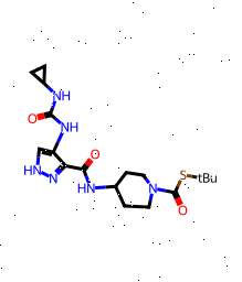 CC(C)(C)SC(=O)N1CCC(NC(=O)c2n[nH]cc2NC(=O)NC2CC2)CC1